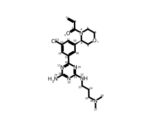 C=CC(=O)N1CCOC[C@H]1c1cc(Cl)cc(-c2nc(N)nc(NCCCN(C)C)n2)c1